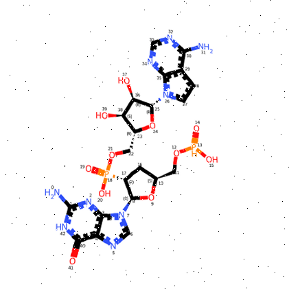 Nc1nc2c(ncn2[C@@H]2O[C@H](CO[PH](=O)O)C[C@H]2P(=O)(O)OC[C@H]2O[C@@H](n3ccc4c(N)ncnc43)[C@H](O)[C@@H]2O)c(=O)[nH]1